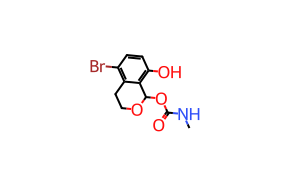 CNC(=O)OC1OCCc2c(Br)ccc(O)c21